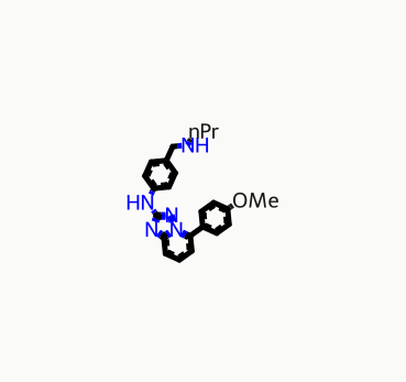 CCCNCc1ccc(Nc2nc3cccc(-c4ccc(OC)cc4)n3n2)cc1